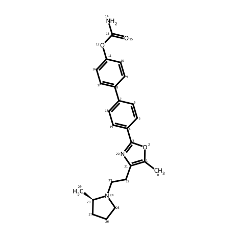 Cc1oc(-c2ccc(-c3ccc(OC(N)=O)cc3)cc2)nc1CCN1CCC[C@H]1C